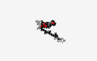 CCC(C)C(C(CC(=O)N1CCC[C@H]1C(OC)C(C)C(=O)N[C@@]1(C(=O)N2CCCCO2)C[C@@H]1c1ccccc1)OC)N(C)C(=O)C(NC(=O)C(C(C)C)N(C)CCCC(=O)NNC(=O)CCCCCN1C(=O)CC(SCC(N)C(=O)O)C1=O)C(C)C